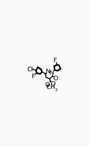 COC(=O)C1CC(c2ccc(Cl)c(F)c2)=NN(c2cccc(F)c2)C1=O